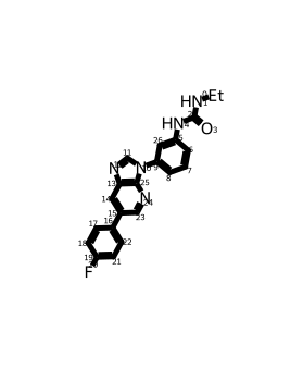 CCNC(=O)Nc1cccc(-n2cnc3cc(-c4ccc(F)cc4)cnc32)c1